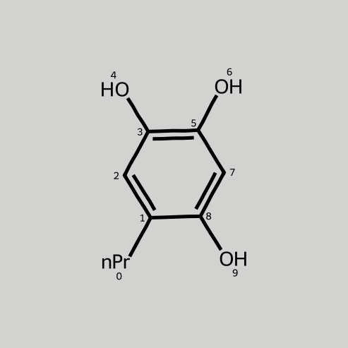 CCCc1cc(O)c(O)cc1O